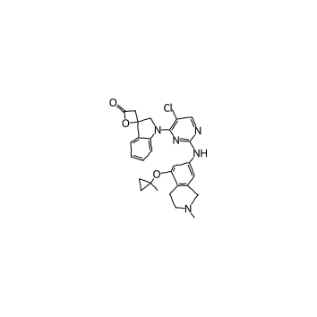 CN1CCc2c(cc(Nc3ncc(Cl)c(N4CC5(CC(=O)O5)c5ccccc54)n3)cc2OC2(C)CC2)C1